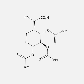 CCCC(=O)OC1OC[C@@H](C(CC)C(=O)O)[C@H](OC(=O)CCC)[C@H]1OC(=O)CCC